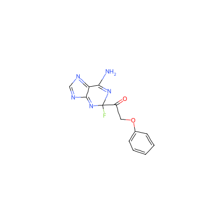 NC1=NC(F)(C(=O)COc2ccccc2)N=C2N=CN=C12